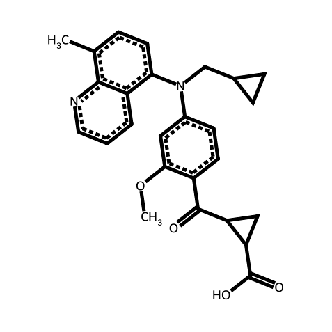 COc1cc(N(CC2CC2)c2ccc(C)c3ncccc23)ccc1C(=O)C1CC1C(=O)O